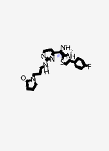 N/C(=C1\NC(c2ccc(F)cc2)=CS1)c1ccnc(NCCCN2CCCC2=O)n1